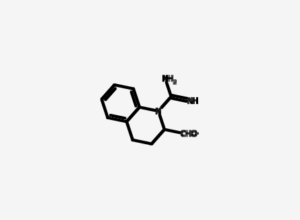 N=C(N)N1c2ccccc2CCC1[C]=O